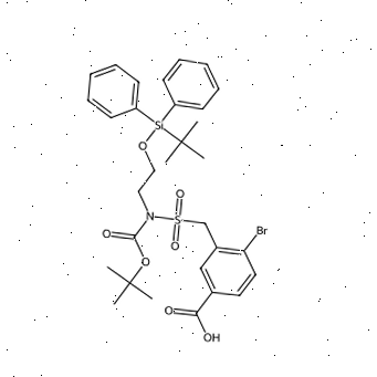 CC(C)(C)OC(=O)N(CCO[Si](c1ccccc1)(c1ccccc1)C(C)(C)C)S(=O)(=O)Cc1cc(C(=O)O)ccc1Br